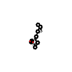 c1ccc(N(c2ccc(-c3ccc4c(c3)sc3ccc5ccccc5c34)cc2)c2cccc3c4ccccc4n(-c4ccccc4)c23)cc1